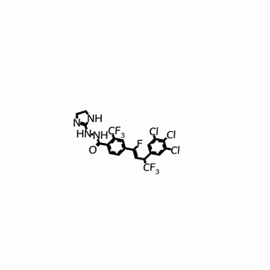 O=C(NNC1=NCCN1)c1ccc(C(F)=CC(c2cc(Cl)c(Cl)c(Cl)c2)C(F)(F)F)cc1C(F)(F)F